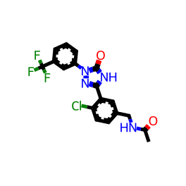 CC(=O)NCc1ccc(Cl)c(-c2nn(-c3cccc(C(F)(F)F)c3)c(=O)[nH]2)c1